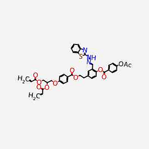 C=CC(=O)OCC(COc1ccc(C(=O)OCCc2ccc(OC(=O)c3ccc(OC(C)=O)cc3)c(/C=N/Nc3nc4ccccc4s3)c2)cc1)OC(=O)C=C